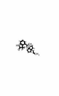 C=CC[C@@]12CCC[C@]1(O[C@@H](C)c1cccc3c1C(F)(F)C(=O)N3)OCC2